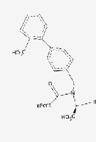 CCCCCC(=O)N(Cc1ccc(-c2ccccc2C(=O)O)cc1)[C@H](C(=O)O)C(C)C